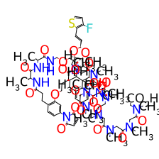 C[C@H](NC(=O)CCc1ccc(N2C(=O)C=CC2=O)cc1OCCCC(=O)N(C)CC(=O)N(C)CC(=O)N(C)CC(=O)N(C)CC(=O)N(C)CC(=O)N(C)CC(=O)N(C)CC(=O)N(C)CC(=O)N(C)CC(=O)N(C)CC(=O)O)C(=O)N[C@@H](C)C(=O)NCOCC(=O)[C@@]12O[C@H](/C=C/c3sccc3F)O[C@@H]1C[C@H]1[C@@H]3CCC4=CC(=O)C=C[C@]4(C)[C@H]3[C@@H](O)C[C@@]12C